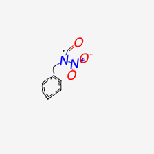 O=[C]N(Cc1ccccc1)[N+](=O)[O-]